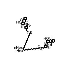 CCCCCCC(CCCCCCCCCCCC(=O)OCCc1cc(Br)c(Nc2ccc(O)c3c2C(=O)c2ccccc2C3=O)c(Br)c1)C(CCCCCC)CCCCCCCCCCCC(=O)OCCc1cc(Br)c(Nc2ccc(O)c3c2C(=O)c2ccccc2C3=O)c(Br)c1